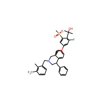 Cc1c(CN(CCCOc2cc(F)c(C(C)(C)O)c(S(C)(=O)=O)c2)CC(c2ccccc2)c2ccccc2)cccc1C(F)(F)F